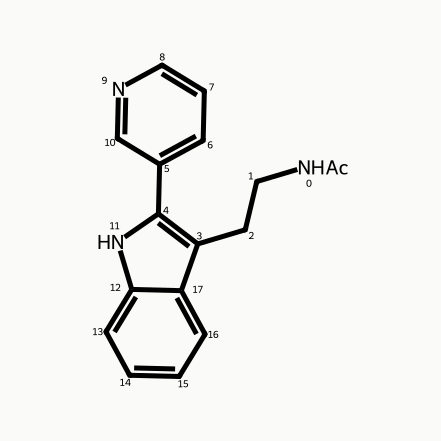 CC(=O)NCCc1c(-c2cccnc2)[nH]c2ccccc12